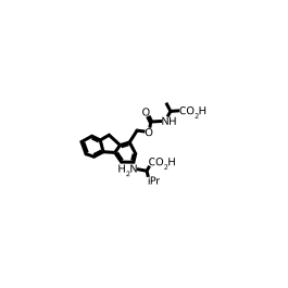 CC(C)C(N)C(=O)O.CC(NC(=O)OCc1cccc2c1Cc1ccccc1-2)C(=O)O